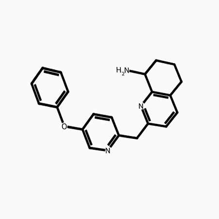 NC1CCCc2ccc(Cc3ccc(Oc4ccccc4)cn3)nc21